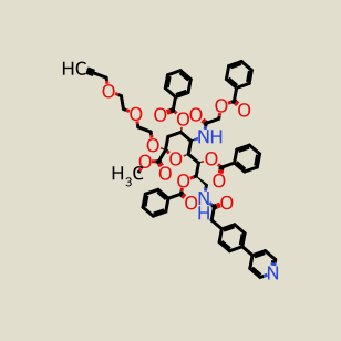 C#CCOCCOCCO[C@]1(C(=O)OC)C[C@H](OC(=O)c2ccccc2)[C@@H](NC(=O)COC(=O)c2ccccc2)[C@H]([C@H](OC(=O)c2ccccc2)[C@@H](CNC(=O)Cc2ccc(-c3ccncc3)cc2)OC(=O)c2ccccc2)O1